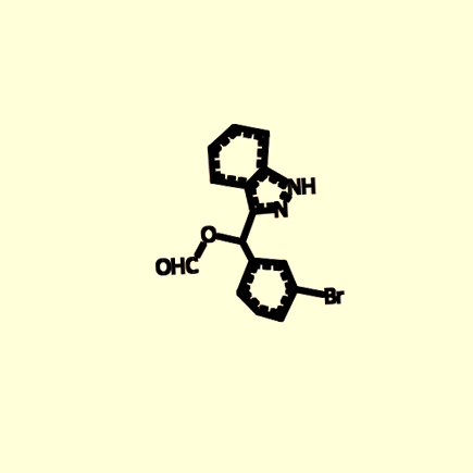 O=COC(c1cccc(Br)c1)c1n[nH]c2ccccc12